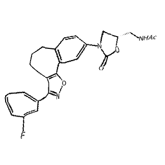 CC(=O)NC[C@H]1CN(c2ccc3c(c2)-c2onc(-c4cccc(F)c4)c2CCC3)C(=O)O1